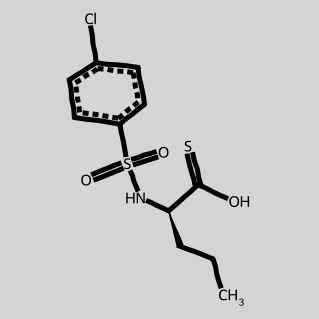 CCC[C@@H](NS(=O)(=O)c1ccc(Cl)cc1)C(O)=S